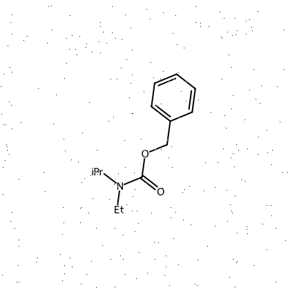 CCN(C(=O)OCc1ccccc1)C(C)C